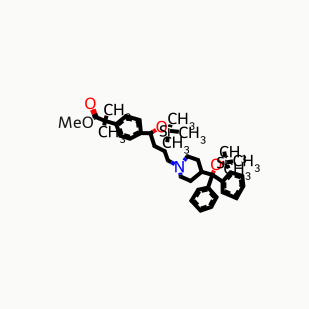 COC(=O)C(C)(C)c1ccc(C(CCCN2CCC(C(O[Si](C)(C)C)(c3ccccc3)c3ccccc3)CC2)O[Si](C)(C)C)cc1